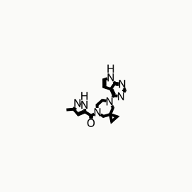 Cc1cc(C(=O)N2CCN(c3ncnc4[nH]ccc34)CC3(CC3)C2)[nH]n1